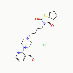 Cl.O=Cc1cccnc1N1CCN(CCCCN2C(=O)SC3(CCCC3)C2=O)CC1